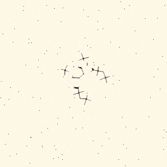 CC(C)(C)CC(C)(C)C(=O)O[C@@H](C(=O)OC(C)(C)C)[C@@H](OC(=O)C(C)(C)CC(C)(C)C)C(=O)OC(C)(C)C